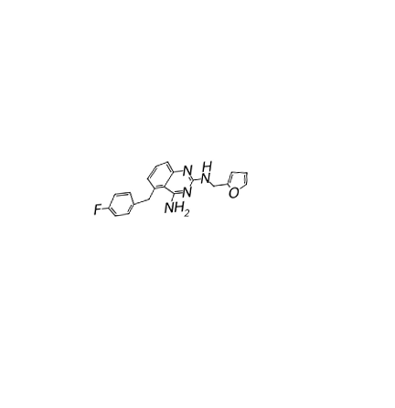 Nc1nc(NCc2ccco2)nc2cccc(Cc3ccc(F)cc3)c12